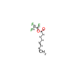 C=CC=CCCCC(=O)OC(F)C(F)F